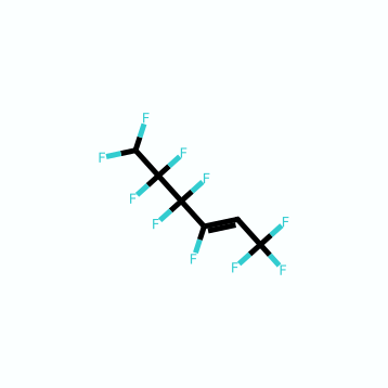 FC(=CC(F)(F)F)C(F)(F)C(F)(F)C(F)F